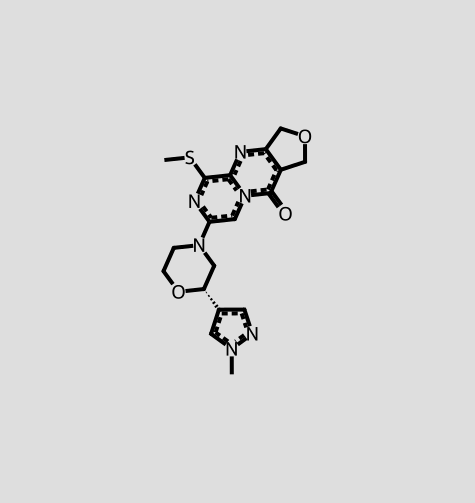 CSc1nc(N2CCO[C@@H](c3cnn(C)c3)C2)cn2c(=O)c3c(nc12)COC3